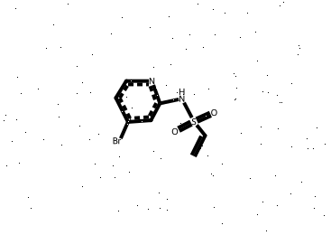 C=CS(=O)(=O)Nc1cc(Br)ccn1